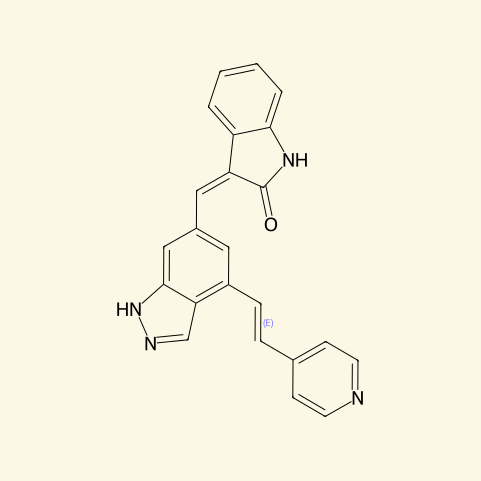 O=C1Nc2ccccc2C1=Cc1cc(/C=C/c2ccncc2)c2cn[nH]c2c1